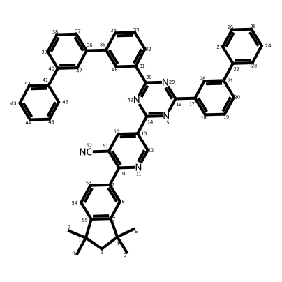 CC1(C)CC(C)(C)c2cc(-c3ncc(-c4nc(-c5cccc(-c6ccccc6)c5)nc(-c5cccc(-c6cccc(-c7ccccc7)c6)c5)n4)cc3C#N)ccc21